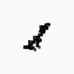 CCCC(=O)Nc1ccc(CCCNC(CCCCNC(=N)N)C(N)=O)cc1